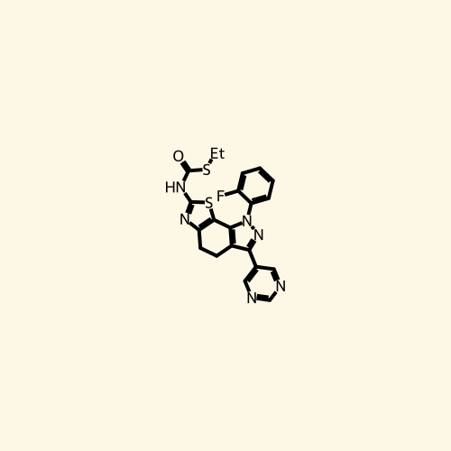 CCSC(=O)Nc1nc2c(s1)-c1c(c(-c3cncnc3)nn1-c1ccccc1F)CC2